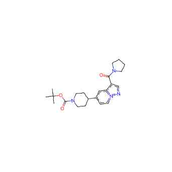 CC(C)(C)OC(=O)N1CCC(c2ccn3ncc(C(=O)N4CCCC4)c3c2)CC1